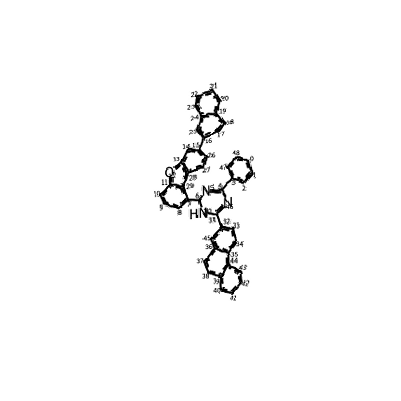 c1ccc(C2=NC(c3cccc4oc5cc(-c6ccc7ccccc7c6)ccc5c34)NC(c3ccc4c(ccc5ccccc54)c3)=N2)cc1